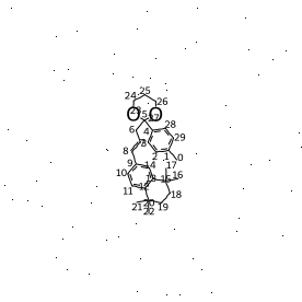 Cc1ccc(C2(CC=Cc3ccc4c(c3)C(C)(C)CCC4(C)C)OCCCO2)cc1